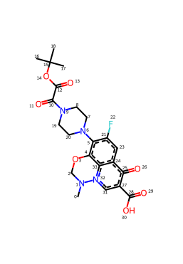 CN1COc2c(N3CCN(C(=O)C(=O)OC(C)(C)C)CC3)c(F)cc3c(=O)c(C(=O)O)cn1c23